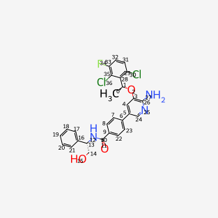 C[C@H](Oc1cc(-c2ccc(C(=O)N[C@H](CO)c3ccccc3)cc2)cnc1N)c1c(Cl)ccc(F)c1Cl